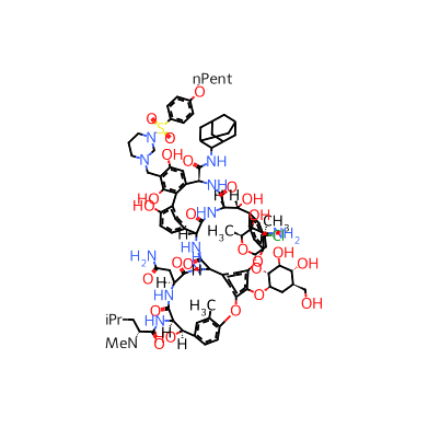 CCCCCOc1ccc(S(=O)(=O)N2CCCN(Cc3c(O)cc4c(c3O)-c3cc(ccc3O)[C@H]3NC(=O)[C@@H]5NC(=O)[C@H](CC(N)=O)NC(=O)[C@H](NC(=O)[C@@H](CC(C)C)NC)[C@H](O)c6ccc(c(C)c6)Oc6cc5cc(c6O[C@@H]5C[C@H](CO)[C@@H](O)[C@H](O)[C@H]5O[C@H]5C[C@](C)(N)[C@H](O)[C@H](C)O5)Oc5ccc(cc5Cl)[C@@H](O)[C@H](NC3=O)C(=O)N[C@@H]4C(=O)NC3C4CC5CC(C4)CC3C5)C2)cc1